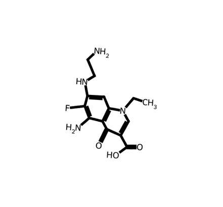 CCn1cc(C(=O)O)c(=O)c2c(N)c(F)c(NCCN)cc21